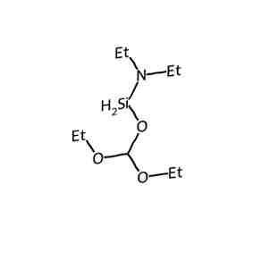 CCOC(OCC)O[SiH2]N(CC)CC